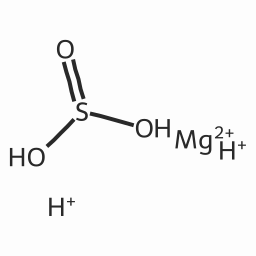 O=S(O)O.[H+].[H+].[Mg+2]